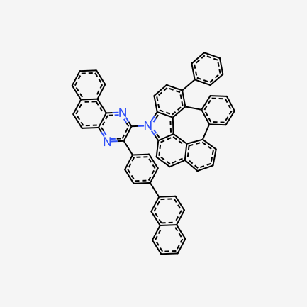 c1ccc(-c2ccc3c4c2-c2ccccc2-c2cccc5ccc(c4c25)n3-c2nc3c(ccc4ccccc43)nc2-c2ccc(-c3ccc4ccccc4c3)cc2)cc1